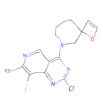 Fc1c(Cl)ncc2c(N3CCCC4(C=CO4)C3)nc(Cl)nc12